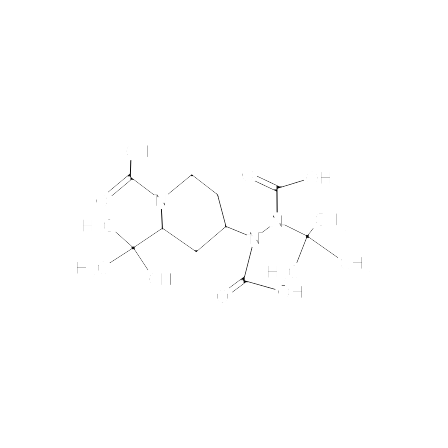 CC(=O)N1CCC(N(C(=O)O)N(C(=O)O)C(C)(C)C)CC1C(C)(C)C